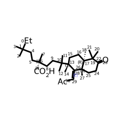 CCC(C)(C)CC[C@@](C)(CCC(C)(C)[C@]1(C)CC[C@@]2(C)C(C)(C)C(=O)CC[C@]2(C)/C1=C/C(C)=O)C(=O)O